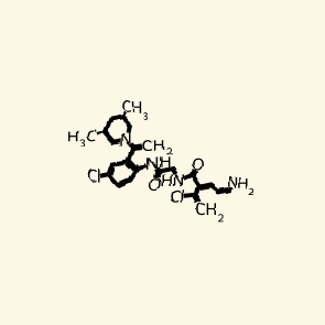 C=C(Cl)/C(=C\C=C/N)C(=O)NCC(=O)Nc1ccc(Cl)cc1C(=C)N1C[C@H](C)C[C@H](C)C1